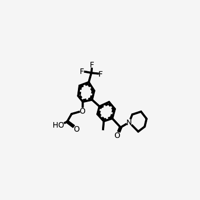 Cc1cc(-c2cc(C(F)(F)F)ccc2OCC(=O)O)ccc1C(=O)N1CCCCC1